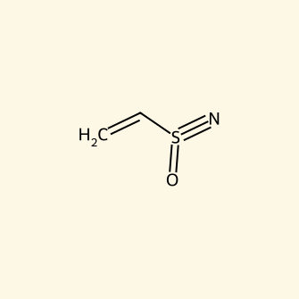 C=CS(#N)=O